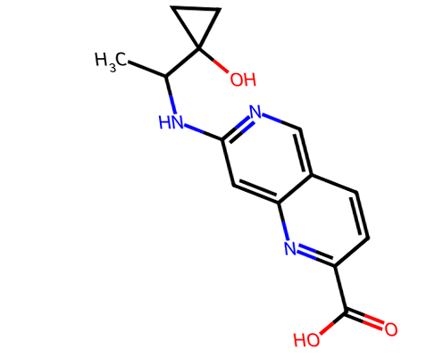 CC(Nc1cc2nc(C(=O)O)ccc2cn1)C1(O)CC1